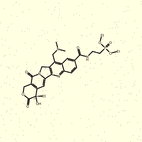 CCOP(=O)(CCNC(=O)c1ccc2nc3c(c(CN(C)C)c2c1)Cn1c-3cc2c(c1=O)COC(=O)[C@]2(O)CC)OCC